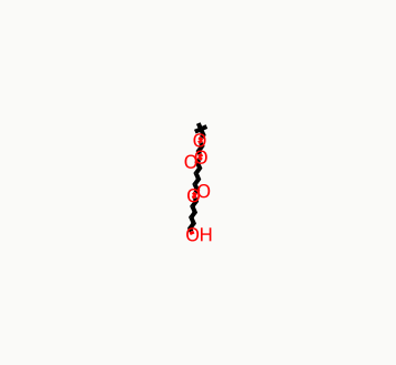 CC(C)(C)COCCOC(=O)CCCCC(=O)OCCCCCCO